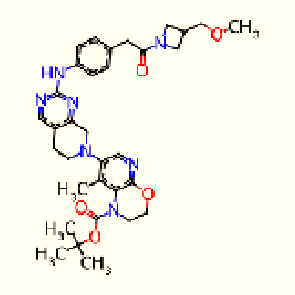 COCC1CN(C(=O)Cc2ccc(Nc3ncc4c(n3)CN(c3cnc5c(c3C)N(C(=O)OC(C)(C)C)CCO5)CC4)cc2)C1